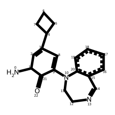 NC1C=C(C2CCC2)C=C(N2CCN=Cc3ccccc32)C1=O